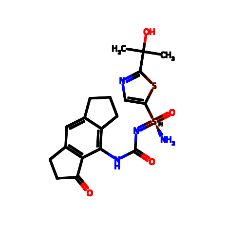 CC(C)(O)c1ncc([S@](N)(=O)=NC(=O)Nc2c3c(cc4c2C(=O)CC4)CCC3)s1